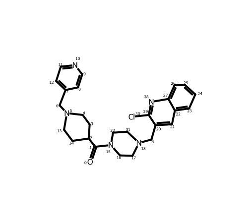 O=C(C1CCN(Cc2ccncc2)CC1)N1CCN(Cc2cc3ccccc3nc2Cl)CC1